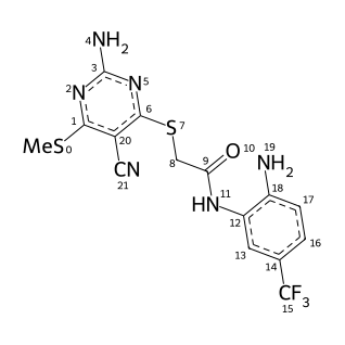 CSc1nc(N)nc(SCC(=O)Nc2cc(C(F)(F)F)ccc2N)c1C#N